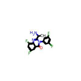 CC(N)c1nc2c(F)cc(F)cc2c(=O)n1-c1cc(F)cc(F)c1